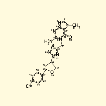 Cc1cnn2nc(N)n(Cc3nc(C4COC(c5ccc(Cl)cc5)C4)no3)c(=O)c12